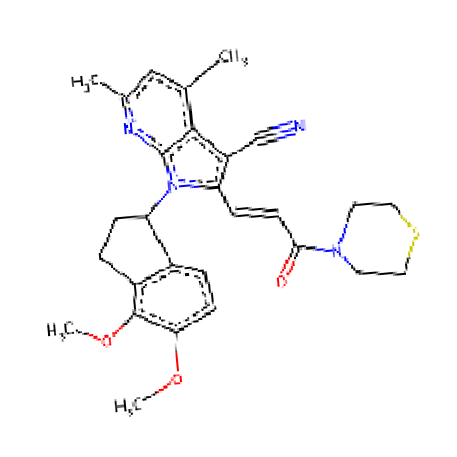 COc1ccc2c(c1OC)CCC2n1c(C=CC(=O)N2CCSCC2)c(C#N)c2c(C)cc(C)nc21